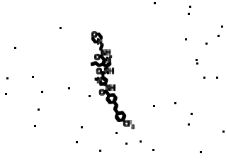 C=CCc1c(NC(=O)c2cc(NC(=O)c3ccc(/C=C/c4ccc(C(F)(F)F)cc4)cc3)cn2C)cn(C)c1C(=O)NCCN1CCOCC1